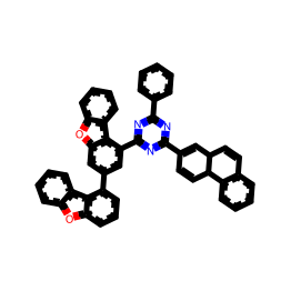 C1=CC2c3ccccc3C=CC2C=C1c1nc(-c2ccccc2)nc(-c2cc(-c3cccc4oc5ccccc5c34)cc3oc4ccccc4c23)n1